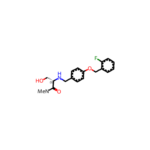 CNC(=O)[C@H](CO)NCc1ccc(OCc2ccccc2F)cc1